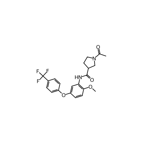 COc1ccc(Oc2ccc(C(F)(F)F)cc2)cc1NC(=O)C1CCN(C(C)=O)C1